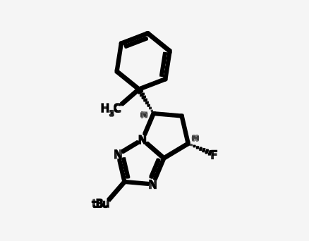 CC(C)(C)c1nc2n(n1)[C@H](C1(C)C=CC=CC1)C[C@@H]2F